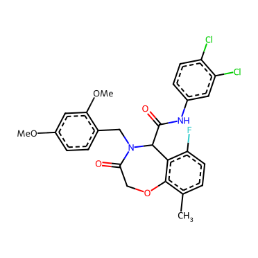 COc1ccc(CN2C(=O)COc3c(C)ccc(F)c3C2C(=O)Nc2ccc(Cl)c(Cl)c2)c(OC)c1